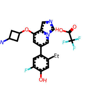 CCc1cc(O)c(F)cc1-c1cc(OC2CC(N)C2)c2cncn2c1.O=C(O)C(F)(F)F